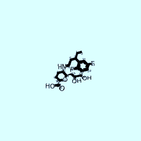 CCC(CCN[C@@H]1CC[C@@H](C(=O)O)O[C@@H]1C[C@H](O)CO)c1cc(F)ccc1F